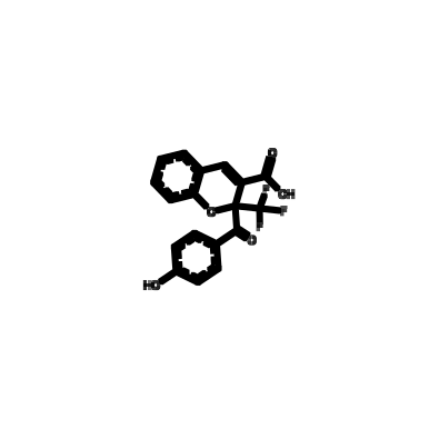 O=C(O)C1=Cc2ccccc2OC1(C(=O)c1ccc(O)cc1)C(F)(F)F